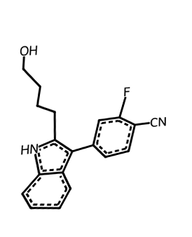 N#Cc1ccc(-c2c(CCCCO)[nH]c3ccccc23)cc1F